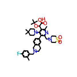 Cc1cc(F)ccc1CN1CCc2cc(-c3c(CN4CCS(=O)(=O)CC4)nc(C)c(C(OC(C)(C)C)C(=O)O)c3N3CCC(C)(C)CC3)ccc2C1